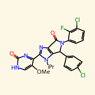 COc1c[nH]c(=O)nc1-c1nc2c(n1C(C)C)C(c1ccc(Cl)cc1)N(c1cccc(Cl)c1F)C2=O